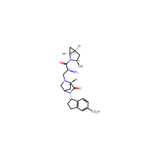 N#C[C@@H]1C[C@@H]2C[C@@H]2N1C(=O)[C@@H](N)CN1CC2C[C@H]1C(=O)N2[C@H]1CCc2cc(C(=O)O)ccc21